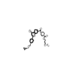 C=CCCOC(=O)N1CCN(C(=O)c2ccc3c(Cl)cc(-c4ccc(COCC5CC5)cc4)nc3c2)CC1